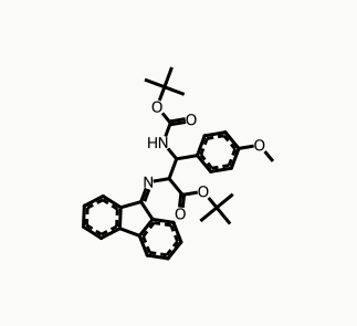 COc1ccc(C(NC(=O)OC(C)(C)C)C(N=C2c3ccccc3-c3ccccc32)C(=O)OC(C)(C)C)cc1